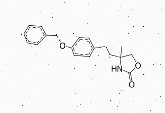 CC1(CCc2ccc(OCc3ccccc3)cc2)COC(=O)N1